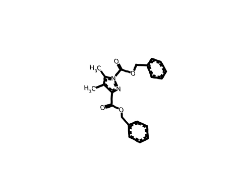 Cc1c(C(=O)OCc2ccccc2)nn(C(=O)OCc2ccccc2)c1C